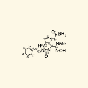 CN/C(=N\O)[C@@H]1c2c(cnn2CC(N)=O)[C@@H]2CN1C(=O)N2OCc1ccccc1